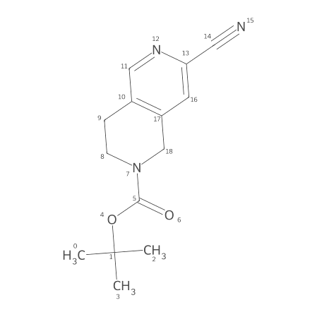 CC(C)(C)OC(=O)N1CCc2cnc(C#N)cc2C1